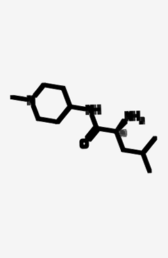 CC(C)C[C@H](N)C(=O)NC1CCN(C)CC1